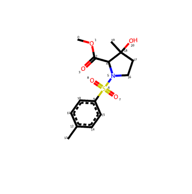 COC(=O)C1N(S(=O)(=O)c2ccc(C)cc2)CCC1(C)O